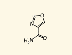 NC(=O)c1co[c]n1